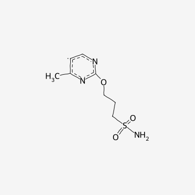 Cc1[c]cnc(OCCCS(N)(=O)=O)n1